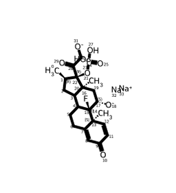 C[C@@H]1CC2C3CCC4=CC(=O)C=C[C@]4(C)[C@@]3(F)[C@@H]([O-])C[C@]2(C)[C@@]1(OP(=O)(O)O)C(=O)C[O-].[Na+].[Na+]